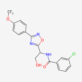 O=C(NC(CO)c1nc(-c2ccc(OC(F)(F)F)cc2)no1)c1cccc(Cl)c1